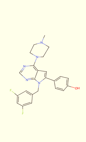 CN1CCN(c2ncnc3c2cc(-c2ccc(O)cc2)n3Cc2cc(F)cc(F)c2)CC1